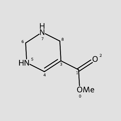 COC(=O)C1=CNCNC1